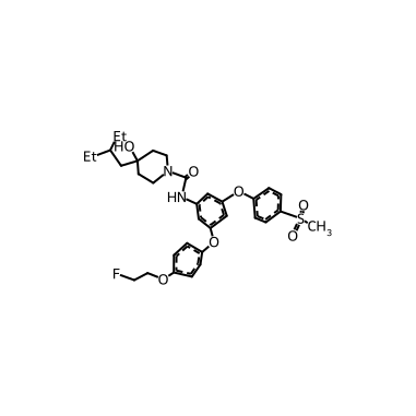 CCC(CC)CC1(O)CCN(C(=O)Nc2cc(Oc3ccc(OCCF)cc3)cc(Oc3ccc(S(C)(=O)=O)cc3)c2)CC1